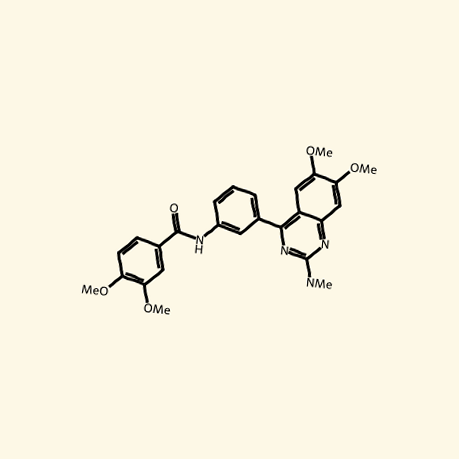 CNc1nc(-c2cccc(NC(=O)c3ccc(OC)c(OC)c3)c2)c2cc(OC)c(OC)cc2n1